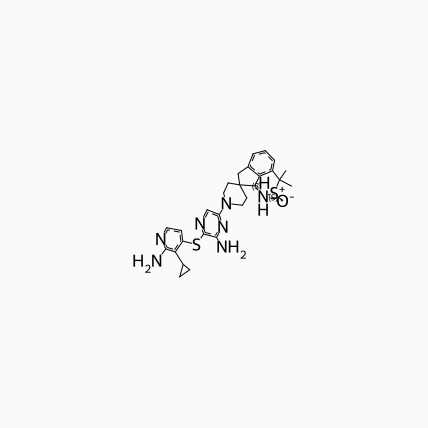 CC1(C)c2cccc3c2[C@@H](N[S@+]1[O-])C1(CCN(c2cnc(Sc4ccnc(N)c4C4CC4)c(N)n2)CC1)C3